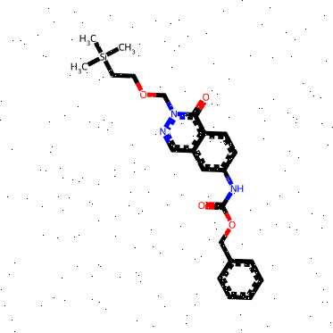 C[Si](C)(C)CCOCn1ncc2cc(NC(=O)OCc3ccccc3)ccc2c1=O